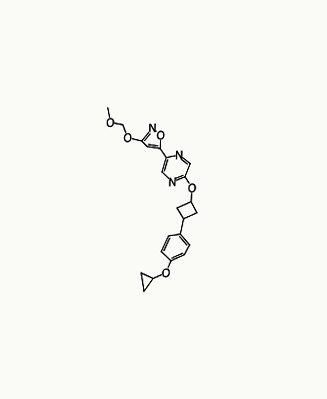 COCOc1cc(-c2cnc(OC3CC(c4ccc(OC5CC5)cc4)C3)cn2)on1